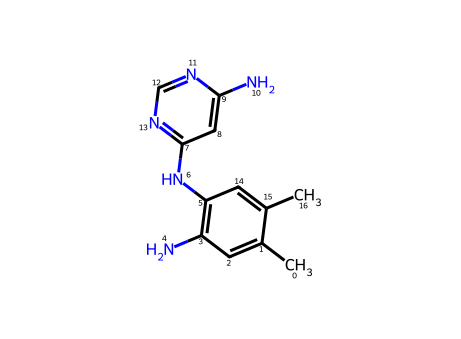 Cc1cc(N)c(Nc2cc(N)ncn2)cc1C